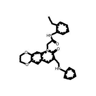 CCc1ccccc1NC(=O)Cn1c(=O)c(CNc2ccccc2)cc2cc3c(cc21)OCCO3